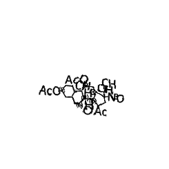 C#CC1(N=O)CC[C@H]2[C@H]3C([C@H](OC(C)=O)CC21C)C1(C)CC[C@H](OC(C)=O)CC1=C[C@@H]3OC(C)=O